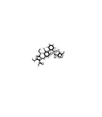 CCCc1nc(CC)c(C(C)=O)n1Cc1ccc(-c2ccccc2S(=O)(=O)Nc2noc(C)c2C)c(C)c1